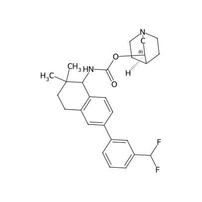 CC1(C)CCc2cc(-c3cccc(C(F)F)c3)ccc2C1NC(=O)O[C@H]1CN2CCC1CC2